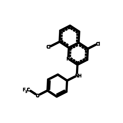 FC(F)(F)OC1=CCC(Nc2cc(Cl)c3cccc(Cl)c3n2)C=C1